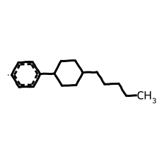 CCCCCC1CCC(c2cc[c]cc2)CC1